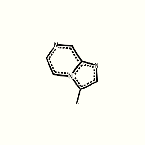 [CH2]c1cnc2cnccn12